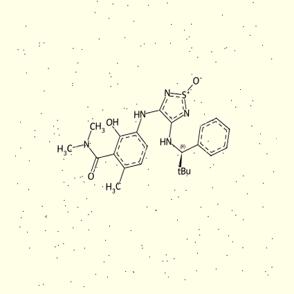 Cc1ccc(Nc2n[s+]([O-])nc2N[C@@H](c2ccccc2)C(C)(C)C)c(O)c1C(=O)N(C)C